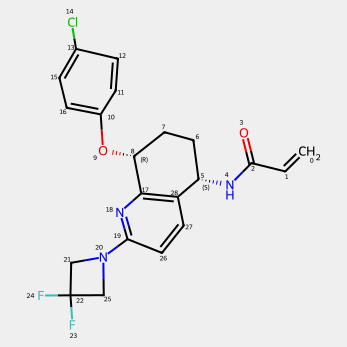 C=CC(=O)N[C@H]1CC[C@@H](Oc2ccc(Cl)cc2)c2nc(N3CC(F)(F)C3)ccc21